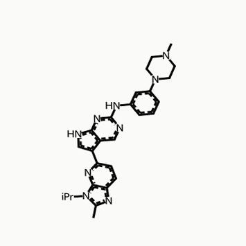 Cc1nc2ccc(-c3c[nH]c4nc(Nc5cccc(N6CCN(C)CC6)c5)ncc34)nc2n1C(C)C